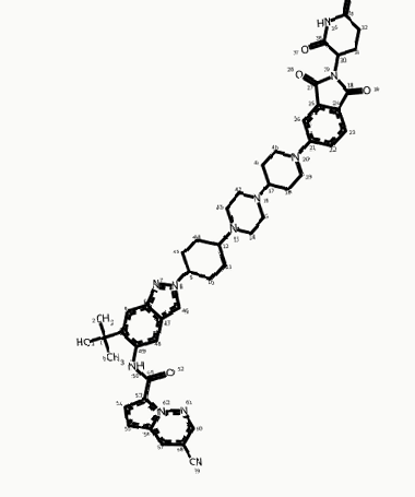 CC(C)(O)c1cc2nn(C3CCC(N4CCN(C5CCN(c6ccc7c(c6)C(=O)N(C6CCC(=O)NC6=O)C7=O)CC5)CC4)CC3)cc2cc1NC(=O)c1ccc2cc(C#N)cnn12